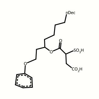 CCCCCCCCCCCCCCC(CCOc1ccccc1)OC(=O)C(CC(=O)O)S(=O)(=O)O